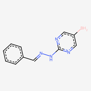 Bc1cnc(N/N=C/c2ccccc2)nc1